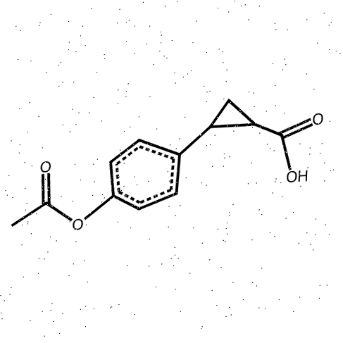 CC(=O)Oc1ccc(C2CC2C(=O)O)cc1